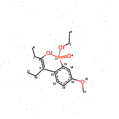 CCOP1(=O)OC(CC)=C(CC)c2ccc(OC)cc21